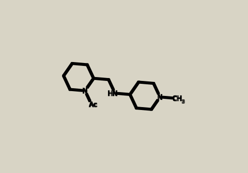 CC(=O)N1CCCCC1CNC1CCN(C)CC1